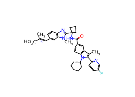 C/C(=C\c1ccc2nc(C3(NC(=O)c4ccc5c(c4)c(C)c(-c4ccc(F)cn4)n5C4CCCCC4)CCC3)n(C)c2c1)C(=O)O